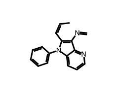 C=Nc1c(/C=C\C)n(-c2ccccc2)c2cccnc12